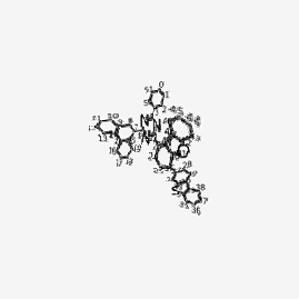 c1ccc(-c2nc(-c3cc4ccccc4c4ccccc34)nc(-c3ccc(-c4ccc5c(c4)sc4ccccc45)c4oc5ccccc5c34)n2)cc1